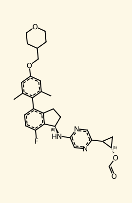 Cc1cc(OCC2CCOCC2)cc(C)c1-c1ccc(F)c2c1CC[C@H]2Nc1cnc(C2C[C@@H]2OC=O)cn1